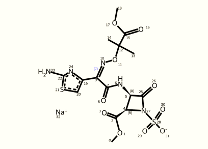 COC(=O)[C@H]1[C@@H](NC(=O)/C(=N\OC(C)(C)C(=O)OC)c2csc(N)n2)C(=O)N1S(=O)(=O)[O-].[Na+]